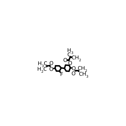 C=C(C)C(=O)OC1CCC(C2CCC(OC(=O)C(=C)C)C(OC(=O)C(=C)C)C2)C(F)C1